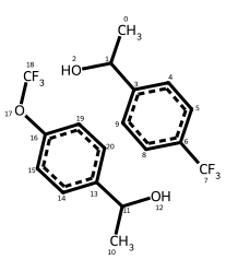 CC(O)c1ccc(C(F)(F)F)cc1.CC(O)c1ccc(OC(F)(F)F)cc1